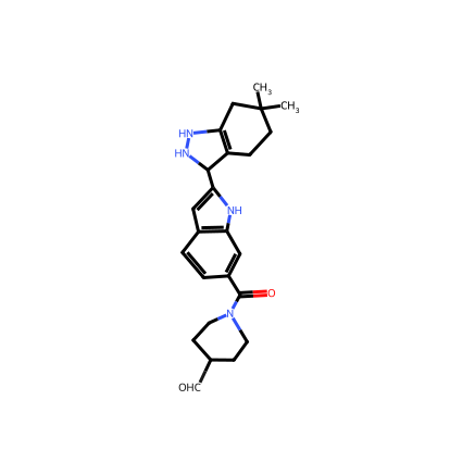 CC1(C)CCC2=C(C1)NNC2c1cc2ccc(C(=O)N3CCC(C=O)CC3)cc2[nH]1